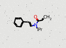 C=CC(=O)N(C=Cc1ccccc1)C(C)C